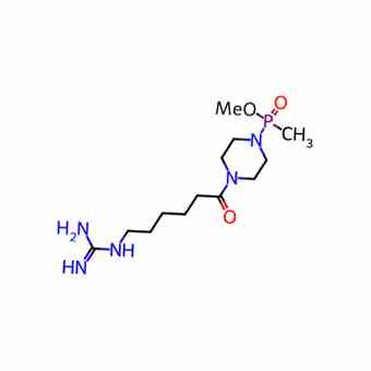 COP(C)(=O)N1CCN(C(=O)CCCCCNC(=N)N)CC1